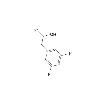 CC(C)c1cc(F)cc(CC(O)C(C)C)c1